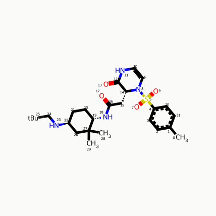 Cc1ccc(S(=O)(=O)N2C=CNC(=O)[C@H]2CC(=O)N[C@H]2CC[C@H](NCC(C)(C)C)CC2(C)C)cc1